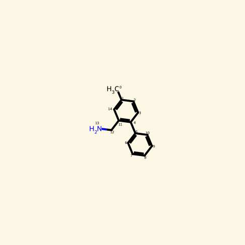 Cc1ccc(-c2ccccc2)c(CN)c1